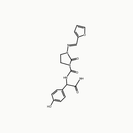 [NH]C(=O)C(NC(=O)N1CCN(N=Cc2ccco2)C1=O)c1ccc(O)cc1